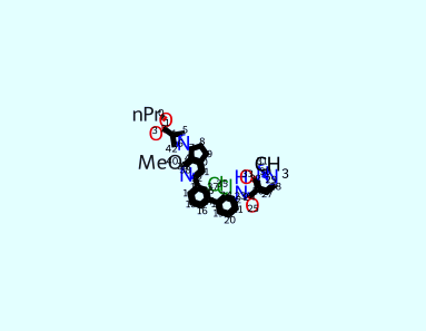 CCCOC(=O)C1CN([C@H]2CCc3cc(-c4cccc(-c5cccc(NC(=O)c6ccnn(C)c6=O)c5Cl)c4Cl)nc(OC)c32)C1